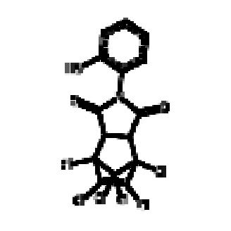 O=C1C2C(C(=O)N1c1ccccc1S)C1(Cl)C(Cl)=C(Cl)C2(Cl)C1(Cl)Cl